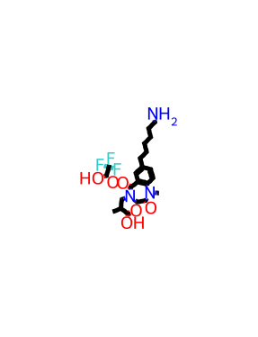 CC(CN1CC(=O)N(C)c2ccc(CCCCCCN)cc2C1=O)C(=O)O.O=C(O)C(F)(F)F